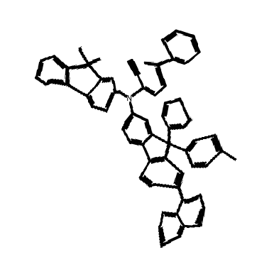 C#C/C(=C\C=C(/C)c1ccccc1)N(c1ccc2c(c1)C(C)(C)c1ccccc1-2)c1ccc2c(c1)C(C1=CCCC=C1)(c1ccc(C)cc1)c1cc(-c3cccc4ccccc34)ccc1-2